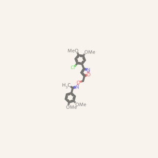 COc1ccc(/C(C)=N/OCc2cc(-c3cc(OC)c(OC)cc3Cl)no2)cc1OC